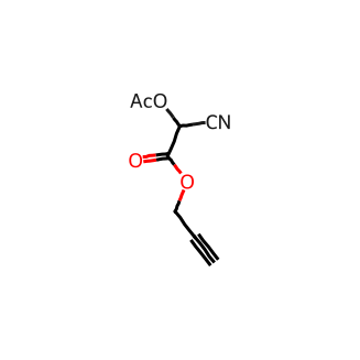 C#CCOC(=O)C(C#N)OC(C)=O